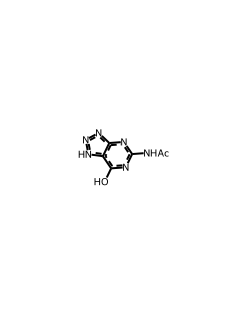 CC(=O)Nc1nc(O)c2[nH]nnc2n1